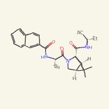 CC[C@@H](C#N)NC(=O)[C@@H]1[C@@H]2[C@H](CN1C(=O)[C@@H](NC(=O)c1ccc3ccccc3c1)C(C)(C)C)C2(C)C